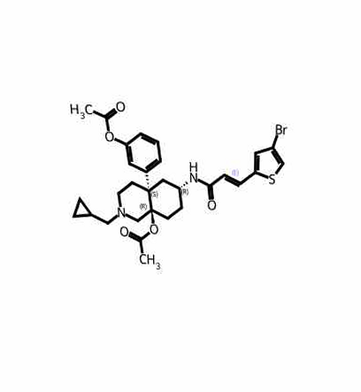 CC(=O)Oc1cccc([C@@]23CCN(CC4CC4)C[C@@]2(OC(C)=O)CC[C@@H](NC(=O)/C=C/c2cc(Br)cs2)C3)c1